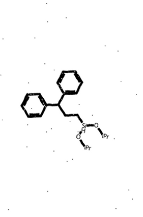 CC(C)O[SiH](CCC(c1ccccc1)c1ccccc1)OC(C)C